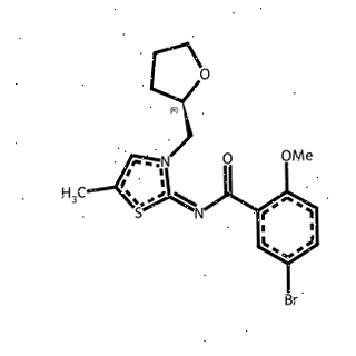 COc1ccc(Br)cc1C(=O)N=c1sc(C)cn1C[C@H]1CCCO1